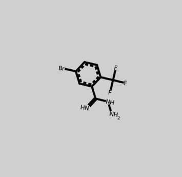 N=C(NN)c1cc(Br)ccc1C(F)(F)F